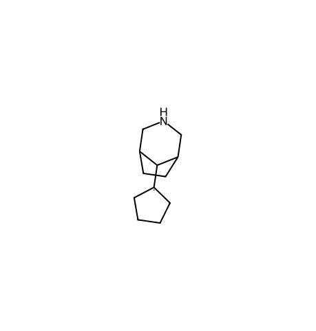 C1CC[C](C2C3CCC2CNC3)C1